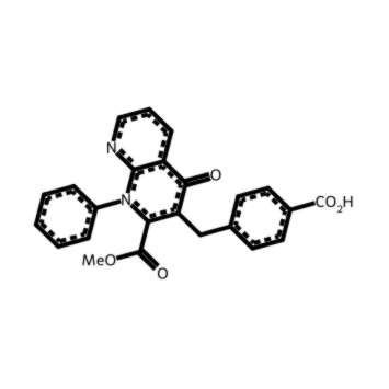 COC(=O)c1c(Cc2ccc(C(=O)O)cc2)c(=O)c2cccnc2n1-c1ccccc1